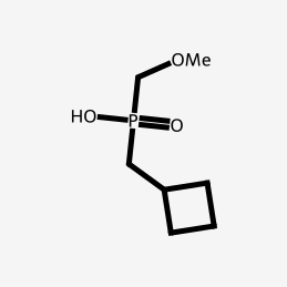 COCP(=O)(O)CC1CCC1